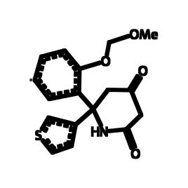 COCOc1cc[c]cc1C1(c2ccsc2)CC(=O)CC(=O)N1